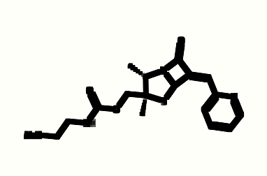 CNCCNC(=O)OC[C@]1(C)SC2/C(=C\c3ccccn3)C(=O)N2[C@H]1C